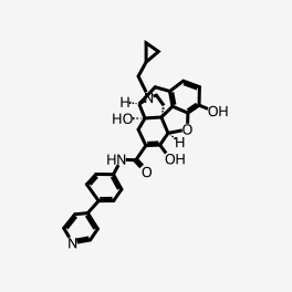 O=C(Nc1ccc(-c2ccncc2)cc1)C1=C(O)[C@@H]2Oc3c(O)ccc4c3[C@@]23CCN(CC2CC2)[C@H](C4)[C@]3(O)C1